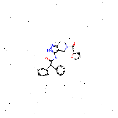 O=C(Nc1[nH]nc2c1CN(C(=O)c1ccco1)CC2)C(c1ccccc1)c1ccccc1